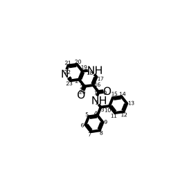 O=C(NC(c1ccccc1)c1ccccc1)c1c[nH]c2ccncc2c1=O